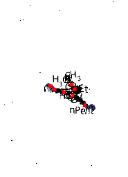 [CH2][CH]c1ccc(C(OC(=O)CCCCCCC/C=C\C/C=C\CCCCC)C(O)(O)OC(=O)CCCCCCC/C=C\C/C=C\CCCCC)c(COC(=O)CCCN(C)C)c1